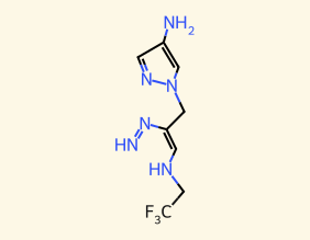 N=N/C(=C\NCC(F)(F)F)Cn1cc(N)cn1